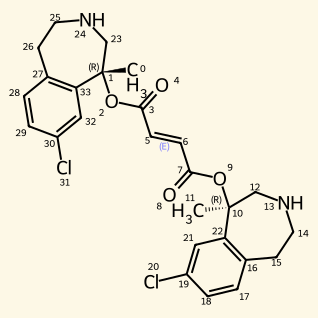 C[C@]1(OC(=O)/C=C/C(=O)O[C@@]2(C)CNCCc3ccc(Cl)cc32)CNCCc2ccc(Cl)cc21